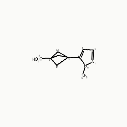 O=C(O)C12CC(c3ccnn3C(F)(F)F)(C1)C2